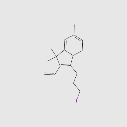 C=CC1=C(CCCI)C2CC=C(C)C=C2C1(C)C